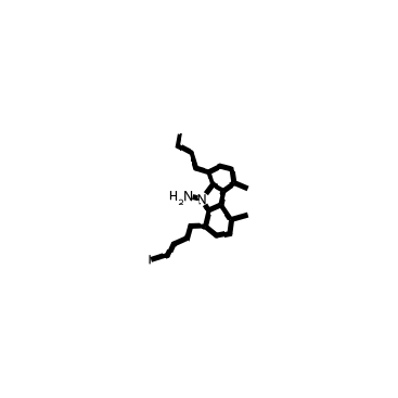 CCCCC1CCC(C)C2C3C(C)CCC(CCCCI)C3N(N)C12